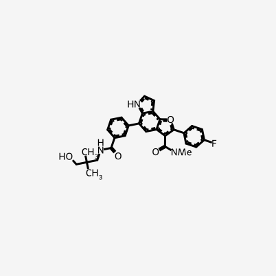 CNC(=O)c1c(-c2ccc(F)cc2)oc2c1cc(-c1cccc(C(=O)NCC(C)(C)CO)c1)c1[nH]ccc12